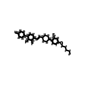 CCCCCOc1ccc(C2CCC(/C=C/c3ccc(-c4ccc(C)cc4)c(F)c3F)CC2)c(F)c1